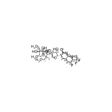 CCC(C)(C[C@H]1O[C@@H](c2cc3cc(F)c(C(F)(F)F)[nH]c-3nc2=O)[C@@H](O)C1O)OP(=O)(O)C(O)(CC)CC